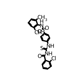 Cc1cccc(C)c1NS(=O)(=O)c1ccc(NC(=S)NC(=O)c2ccccc2Cl)cc1